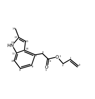 C=CCOC(=O)Cc1cccc2[nH]c(C)cc12